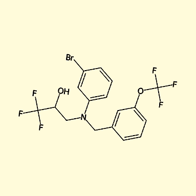 OC(CN(Cc1cccc(OC(F)(F)F)c1)c1cccc(Br)c1)C(F)(F)F